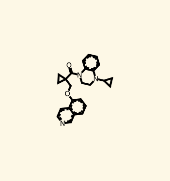 O=C(N1CCN(C2CC2)c2ccccc21)C1(COc2cccc3cnccc23)CC1